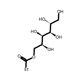 CCC(=O)OC[C@H](O)[C@@H](O)[C@H](O)[C@H](O)CO